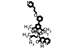 CC(C)=CCN(C(=O)Nc1c(C(C)C)cc(-c2cccc(OCCCc3ccncc3)c2)cc1C(C)C)c1cc2cccnc2[nH]c1=O